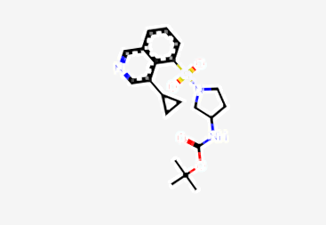 CC(C)(C)OC(=O)NC1CCN(S(=O)(=O)c2cccc3cncc(C4CC4)c23)C1